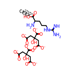 N=C(N)NCCCC(N)C(=O)O.O=C([O-])CC(O)(CC(=O)[O-])C(=O)[O-].O=C([O-])CC(O)(CC(=O)[O-])C(=O)[O-].[Ca+2].[Ca+2].[Ca+2]